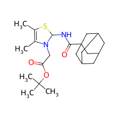 CC1=C(C)N(CC(=O)OC(C)(C)C)C(NC(=O)C23CC4CC(CC(C4)C2)C3)S1